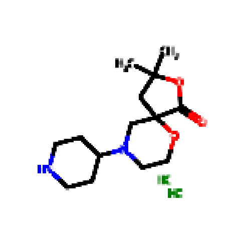 CC1(C)CC2(CN(C3CCNCC3)CCO2)C(=O)O1.Cl.Cl